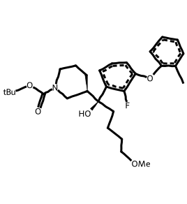 COCCCC[C@@](O)(c1cccc(Oc2ccccc2C)c1F)[C@@H]1CCCN(C(=O)OC(C)(C)C)C1